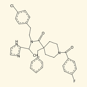 CC(c1ncc[nH]1)N(CCc1ccc(Cl)cc1)C(=O)C1(Cc2ccccc2)CCN(C(=O)c2ccc(F)cc2)CC1